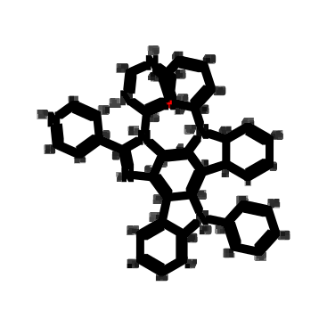 C1=CC2c3c(c4c(nc(-c5ccncc5)n4-c4ncncn4)c4c5ccccc5n(-c5ccccc5)c34)N(c3ccccc3)C2C=C1